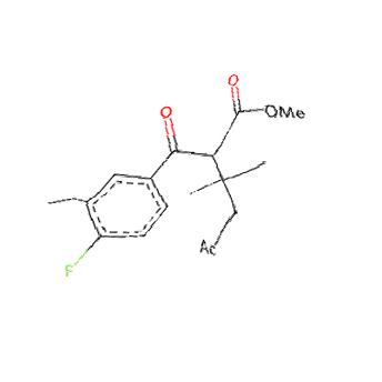 COC(=O)C(C(=O)c1ccc(F)c(C)c1)C(C)(C)CC(C)=O